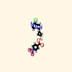 O=C(OC[C@H]1C[C@H](c2ncc3c(Cl)nccn32)C1)c1ccc([N+](=O)[O-])cc1